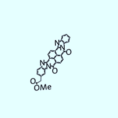 COC(=O)Cc1ccc2nc3c4ccc5c6c(ccc(c(=O)n3c2c1)c46)c(=O)n1c2ccccc2nc51